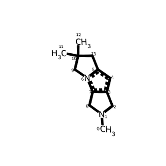 CN1Cc2cc3n(c2C1)CC(C)(C)C3